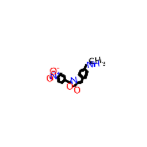 CNCc1ccc(/C=C2\N=C(c3ccc([N+](=O)[O-])cc3)OC2=O)cc1